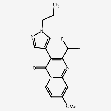 COc1ccn2c(=O)c(-c3cnn(CCC(F)(F)F)c3)c(C(F)F)nc2c1